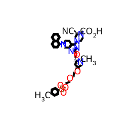 Cc1ccc(S(=O)(=O)OCCOCCO[C@@H]2C[C@H](COc3nc4c(c(N5CCN(C(=O)O)[C@@H](CC#N)C5)n3)CCN(c3cccc5ccccc35)C4)N(C)C2)cc1